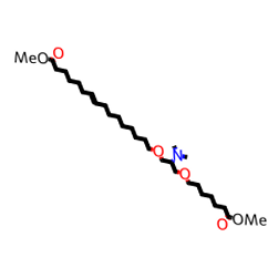 COC(=O)CCCCC/C=C/CCCCCCCCOCC(COCCCCCCC(=O)OC)N(C)C